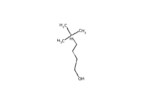 C[PH](C)(C)CCCCO